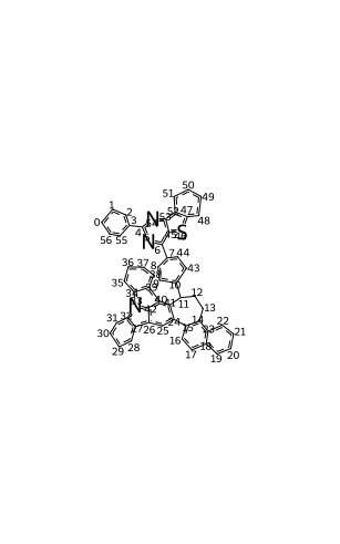 c1ccc(-c2nc(-c3ccc(C4CCc5c(ccc6ccccc56)-c5cc6c7ccccc7n7c8ccccc8c(c54)c67)cc3)c3sc4ccccc4c3n2)cc1